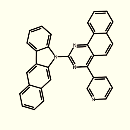 c1cncc(-c2nc(-n3c4ccccc4c4cc5ccccc5cc43)nc3c2ccc2ccccc23)c1